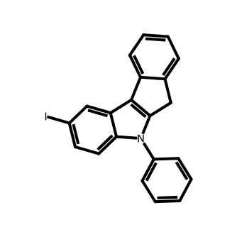 Ic1ccc2c(c1)c1c(n2-c2ccccc2)Cc2ccccc2-1